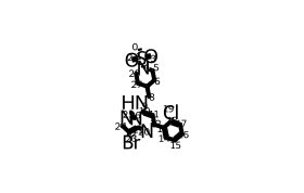 CS(=O)(=O)N1CCC(CNc2cc(-c3ccccc3Cl)nc3c(Br)cnn23)CC1